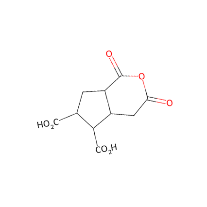 O=C1CC2C(CC(C(=O)O)C2C(=O)O)C(=O)O1